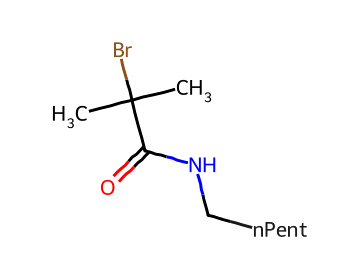 CCCCCCNC(=O)C(C)(C)Br